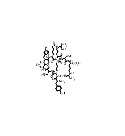 CC(C)C[C@H](NC(=O)[C@H](CS)NC(=O)[C@H](CCCCN)NC(=O)[C@@H](N)Cc1ccc(O)cc1)C(=O)N[C@@H](Cc1c[nH]cn1)C(=O)N[C@@H](CCCCN)C(=O)N[C@@H](CCCNC(=N)N)C(=O)N[C@@H](CS)C(=O)N[C@@H](CCCNC(=N)N)C(=O)O